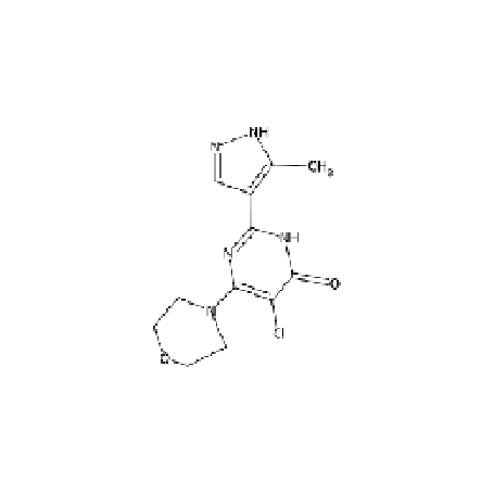 Cc1[nH]ncc1-c1nc(N2CCOCC2)c(Cl)c(=O)[nH]1